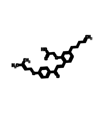 C=CCCCc1ccc(C=CC(=O)c2ccc(OCC=C(C)C)cc2)c(OCC(=O)O)c1